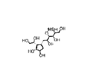 O=S(=O)(O)O[C@@H]([C@H](O)[C@H](O)CO)[C@@H](O)C[C@@H]1C[C@@H](O)[C@@H](O)[C@@H]1[C@H](O)CO